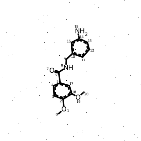 COc1ccc(C(=O)NCc2cccc(N)c2)cc1OC